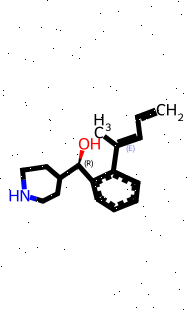 C=C/C=C(\C)c1ccccc1[C@H](O)C1CCNCC1